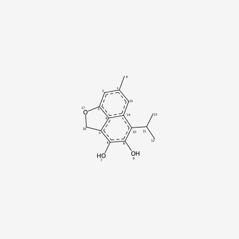 Cc1cc2c3c(c(O)c(O)c(C(C)C)c3c1)CO2